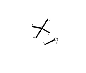 CC(C)(C)C.CCC